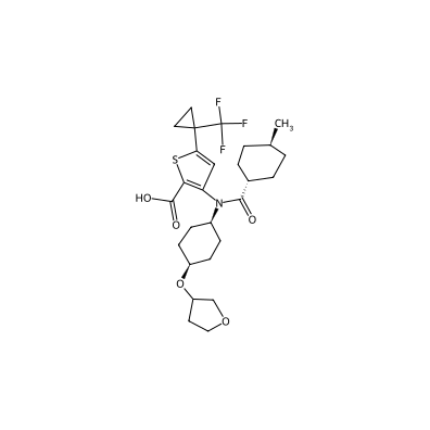 C[C@H]1CC[C@H](C(=O)N(c2cc(C3(C(F)(F)F)CC3)sc2C(=O)O)[C@H]2CC[C@@H](OC3CCOC3)CC2)CC1